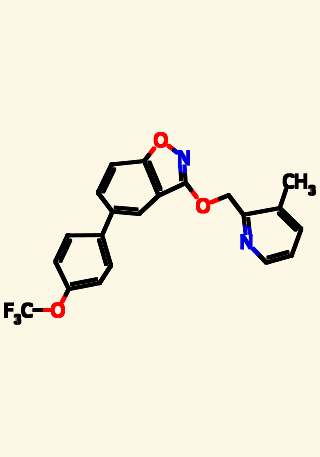 Cc1cccnc1COc1noc2ccc(-c3ccc(OC(F)(F)F)cc3)cc12